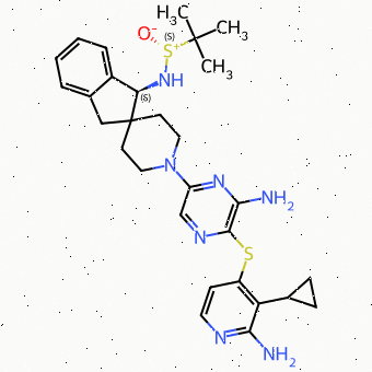 CC(C)(C)[S@@+]([O-])N[C@@H]1c2ccccc2CC12CCN(c1cnc(Sc3ccnc(N)c3C3CC3)c(N)n1)CC2